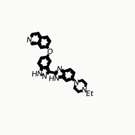 CCN1CCN(c2ccc3nc(-c4n[nH]c5ccc(Oc6ccc7ccncc7c6)cc45)[nH]c3c2)CC1